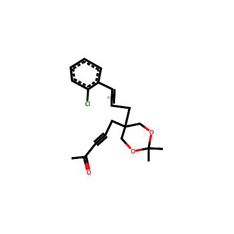 CC(=O)C#CCC1(C/C=C/c2ccccc2Cl)COC(C)(C)OC1